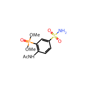 COP(=O)(OC)c1cc(S(N)(=O)=O)ccc1NC(C)=O